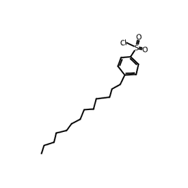 CCCCCCCCCCCCCc1ccc(S(=O)(=O)Cl)cc1